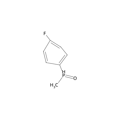 C[PH](=O)c1ccc(F)cc1